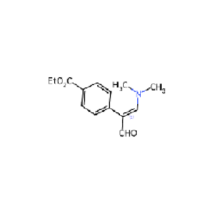 CCOC(=O)c1ccc(/C(C=O)=C\N(C)C)cc1